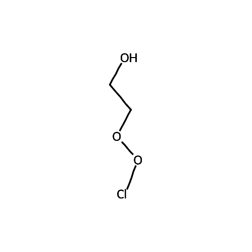 OCCOOCl